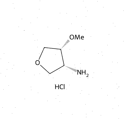 CO[C@H]1COC[C@H]1N.Cl